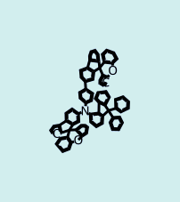 c1ccc(C2(c3ccccc3)c3ccccc3-c3c(N(c4ccc(-c5ccc6c(c5)C5(c7ccccc7Oc7ccccc75)c5ccccc5-6)cc4)c4ccc5c(c4)C4(c6ccccc6Oc6ccccc64)c4ccccc4-5)cccc32)cc1